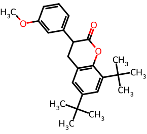 COc1cccc(C2Cc3cc(C(C)(C)C)cc(C(C)(C)C)c3OC2=O)c1